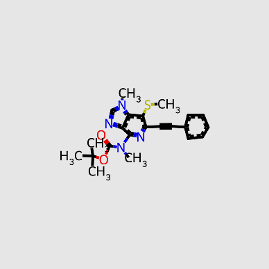 CSc1c(C#Cc2ccccc2)nc(N(C)C(=O)OC(C)(C)C)c2ncn(C)c12